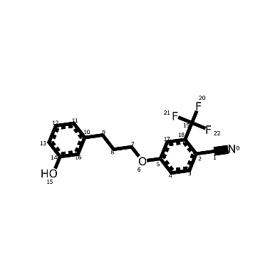 N#Cc1ccc(OCCCc2cccc(O)c2)cc1C(F)(F)F